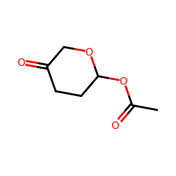 CC(=O)OC1CCC(=O)CO1